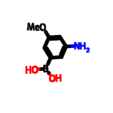 COc1cc(N)cc(B(O)O)c1